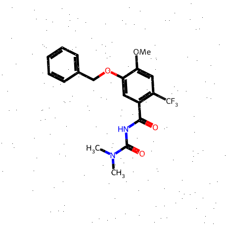 COc1cc(C(F)(F)F)c(C(=O)NC(=O)N(C)C)cc1OCc1ccccc1